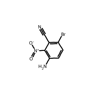 N#Cc1c(Br)ccc(N)c1[N+](=O)[O-]